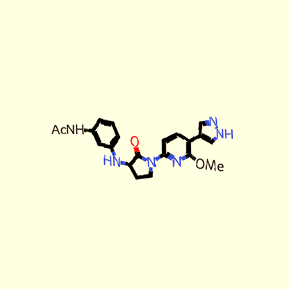 COc1nc(N2CCC(Nc3cccc(NC(C)=O)c3)C2=O)ccc1-c1cn[nH]c1